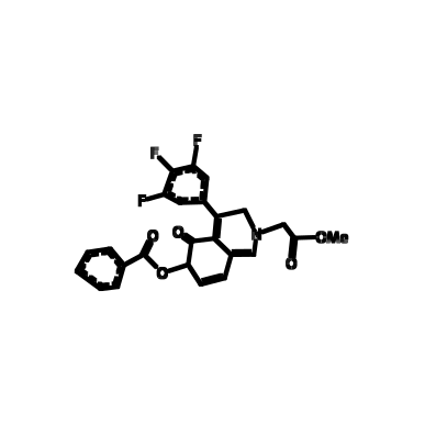 COC(=O)CN1C=C2C=CC(OC(=O)c3ccccc3)C(=O)C2=C(c2cc(F)c(F)c(F)c2)C1